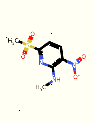 CNc1nc(S(C)(=O)=O)ccc1[N+](=O)[O-]